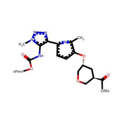 CCCCCOC(=O)Nc1c(-c2ccc(O[C@H]3COC[C@H](C(=O)OC)C3)c(C)n2)nnn1C